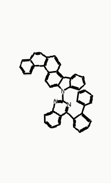 c1ccc(-c2ccccc2-c2nc(-n3c4ccccc4c4c5ccc6ccc7ccccc7c6c5ccc43)nc3ccccc23)cc1